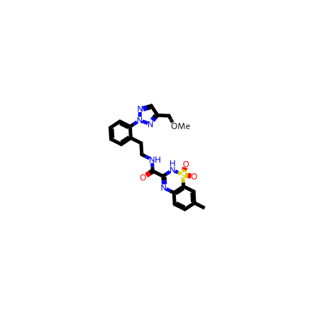 COCc1cnn(-c2ccccc2CCNC(=O)C2=Nc3ccc(C)cc3S(=O)(=O)N2)n1